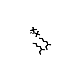 CCCCC(C)CC.CCCCC(C)CC.C[C](C)(C)[Sn][C](C)(C)C